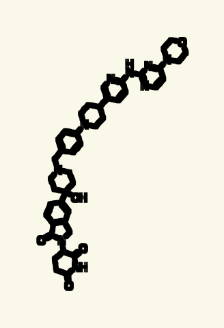 O=C1CCC(N2Cc3cc(C4(O)CCN(Cc5ccc(N6CCC(c7ccc(Nc8nccc(N9CCOCC9)n8)nc7)CC6)cc5)CC4)ccc3C2=O)C(=O)N1